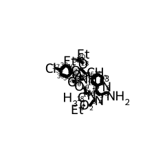 CCOCc1nc2c(N)nc3ccccc3c2n1[C@H](C)COP(=O)(N[C@@H](C)C(=O)OC(CC)CC)Oc1ccc(Cl)cc1